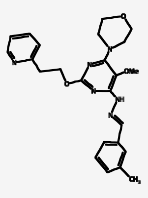 COc1c(NN=Cc2cccc(C)c2)nc(OCCc2ccccn2)nc1N1CCOCC1